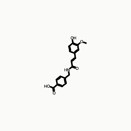 COc1cc(C=CC(=O)NCc2ccc(C(=O)O)cc2)ccc1O